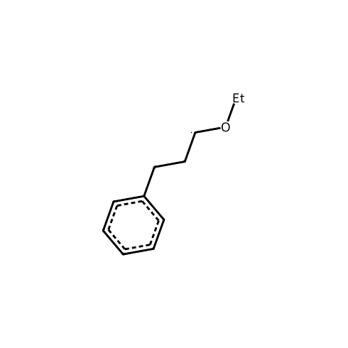 CCO[CH]CCc1ccccc1